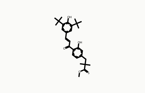 COC(=S)C(C)(C)Cc1ccc(C(=O)/C=C/c2cc(C(C)(C)C)c(O)c(C(C)(C)C)c2)c(O)c1